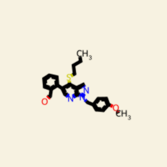 CCCCSc1c(-c2ccccc2C=O)cnc2c1cnn2Cc1ccc(OC)cc1